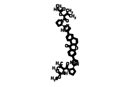 CNC(=O)O[C@H](C(=O)N1CCC[C@H]1c1ncc(-c2ccc3c(ccc4oc5cc(-c6cnc([C@@H]7CCCN7C(=O)[C@@H](NC(=O)OC)C(C)C)[nH]6)ccc5c(=O)c43)c2)[nH]1)C(C)C